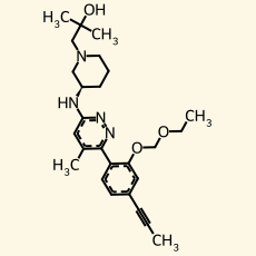 CC#Cc1ccc(-c2nnc(N[C@@H]3CCCN(CC(C)(C)O)C3)cc2C)c(OCOCC)c1